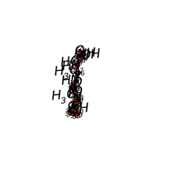 CC(Cc1ccc(CNC(=O)Cc2ccc(N(C)C(=O)CCN3CCC(OC(=O)Nc4ccccc4-c4ccccc4)CC3)cc2)cc1)NC[C@H](O)c1ccc(O)c2[nH]c(=O)ccc12